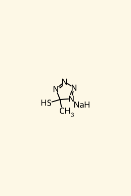 CC1(S)N=NN=N1.[NaH]